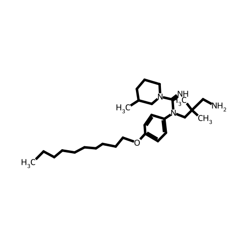 CCCCCCCCCCOc1ccc(N(CC(C)(C)CN)C(=N)N2CCCC(C)C2)cc1